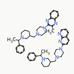 CC(c1ccccc1)N1CCCC(CN2CCN(c3ccc4cccnc4n3)CC2)C1.Cc1nc2ccccc2nc1N1CCN(CC2CCCN(C(C)c3ccccc3)C2)CC1